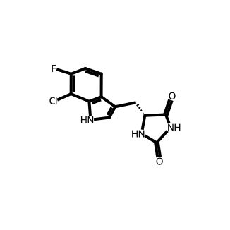 O=C1NC(=O)[C@@H](Cc2c[nH]c3c(Cl)c(F)ccc23)N1